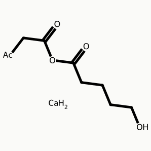 CC(=O)CC(=O)OC(=O)CCCCO.[CaH2]